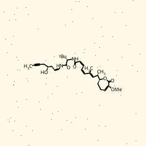 CC#CC[C@H](O)C/C=C\NC(=O)[C@@H](NC(=O)\C=C/C=C\C(C)=C\[C@H](C)[C@@H]1CCC=C(OC)C(=O)O1)C(C)(C)C